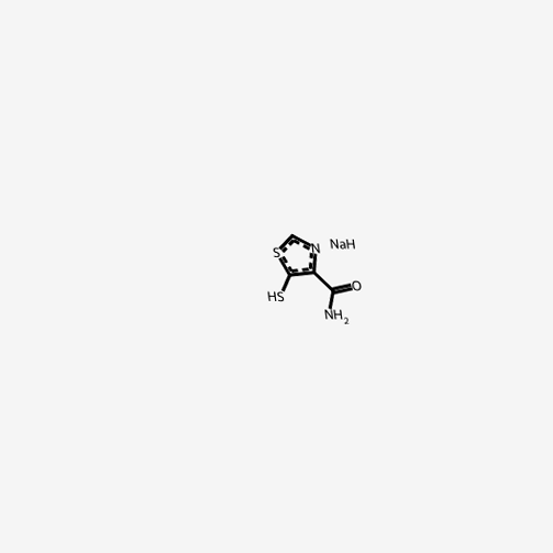 NC(=O)c1ncsc1S.[NaH]